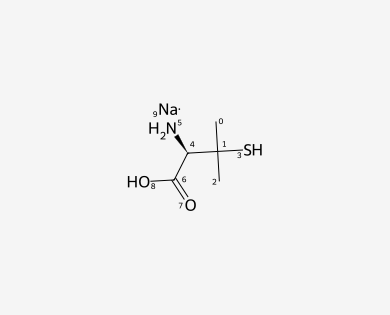 CC(C)(S)[C@H](N)C(=O)O.[Na]